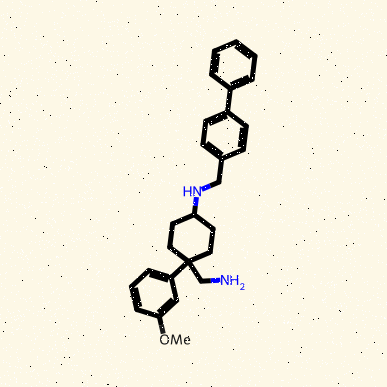 COc1cccc(C2(CN)CCC(NCc3ccc(-c4ccccc4)cc3)CC2)c1